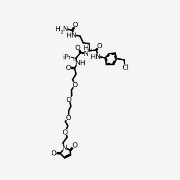 CC(C)[C@H](NC(=O)CCOCCOCCOCCOCCN1C(=O)C=CC1=O)C(=O)N[C@@H](CCCNC(N)=O)C(=O)Nc1ccc(CCl)cc1